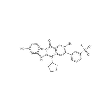 CCc1cc2c(=O)c3c4ccc(C#N)cc4[nH]c3n(C3CCCC3)c2cc1-c1cccc(S(=O)(=O)F)c1